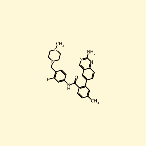 Cc1ccc(C(=O)Nc2ccc(CN3CCN(C)CC3)c(F)c2)c(-c2ccc3nc(N)ncc3c2)c1